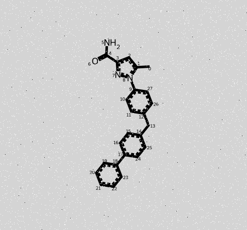 Cc1cc(C(N)=O)nn1-c1ccc(Cc2ccc(-c3ccccc3)cc2)cc1